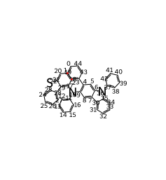 c1ccc(-c2cc3c(cc2N(c2ccccc2)c2cccc4sc5ccccc5c24)c2ccccc2n3-c2ccccc2)cc1